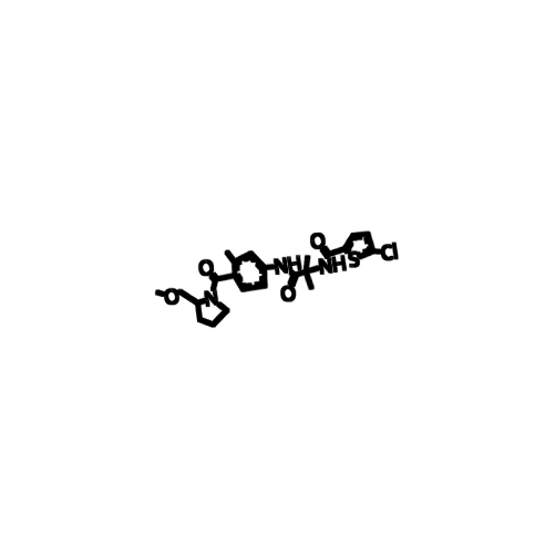 COCC1CCCN1C(=O)c1ccc(NC(=O)C(C)(C)NC(=O)c2ccc(Cl)s2)cc1C